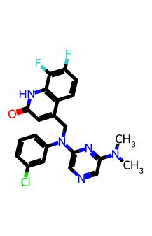 CN(C)c1cncc(N(Cc2cc(=O)[nH]c3c(F)c(F)ccc23)c2cccc(Cl)c2)n1